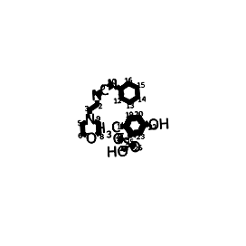 C(=NCCN1CCOCC1)=NC1CCCCC1.Cc1ccc(O)cc1S(=O)(=O)O